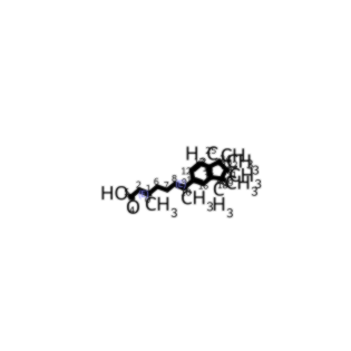 C/C(=C\C(=O)O)CC/C=C(\C)c1ccc2c(c1)C(C)(C)C(C)(C)C2(C)C